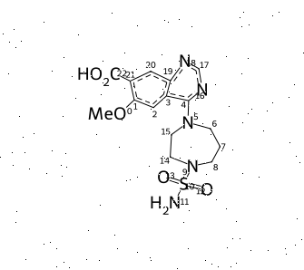 COc1cc2c(N3CCCN(S(N)(=O)=O)CC3)ncnc2cc1C(=O)O